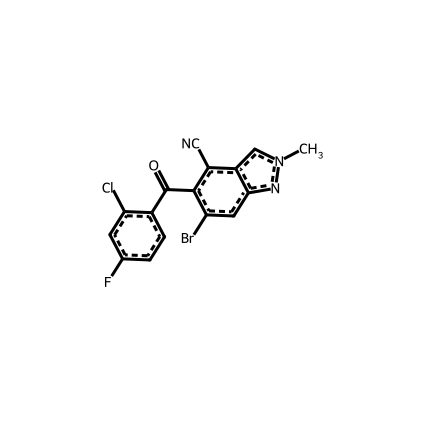 Cn1cc2c(C#N)c(C(=O)c3ccc(F)cc3Cl)c(Br)cc2n1